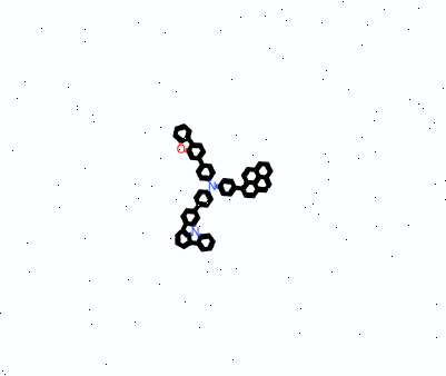 c1cc2ccc3ccc(-c4ccc(N(c5ccc(-c6ccc7c(c6)oc6ccccc67)cc5)c5ccc(-c6ccc7c8cccc9c%10ccccc%10n(c7c6)c98)cc5)cc4)c4ccc(c1)c2c34